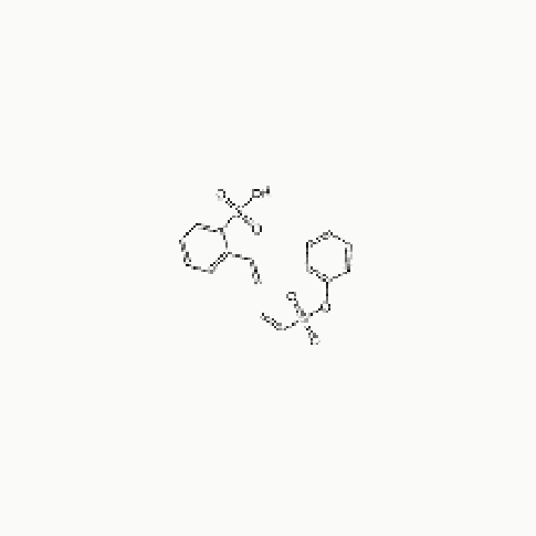 C=CS(=O)(=O)Oc1ccccc1.C=Cc1ccccc1S(=O)(=O)O